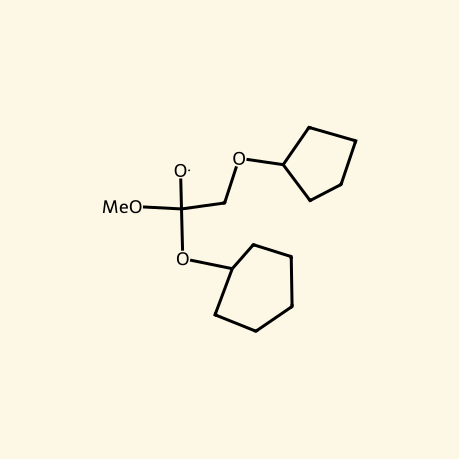 COC([O])(COC1CCCC1)OC1CCCCC1